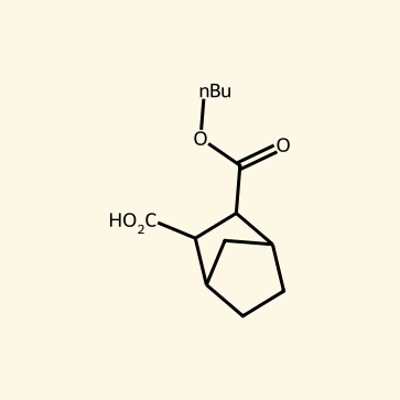 CCCCOC(=O)C1C2CCC(C2)C1C(=O)O